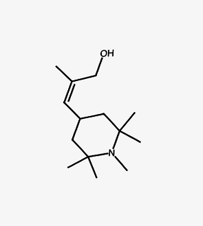 CC(=CC1CC(C)(C)N(C)C(C)(C)C1)CO